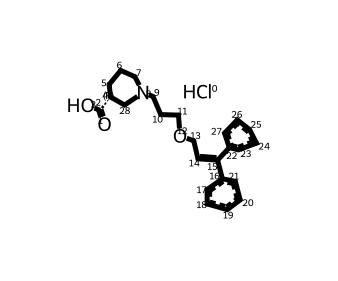 Cl.O=C(O)[C@@H]1CCCN(CCCOCC=C(c2ccccc2)c2ccccc2)C1